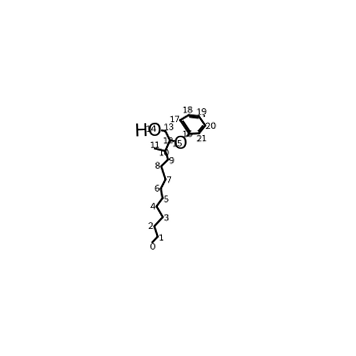 CCCCCCCCCCC(C)C(CO)Oc1cc[c]cc1